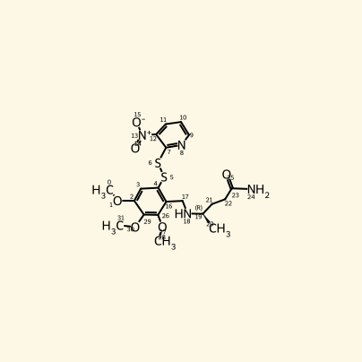 COc1cc(SSc2ncccc2[N+](=O)[O-])c(CN[C@H](C)CCC(N)=O)c(OC)c1OC